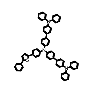 c1ccc(-c2ccc(-c3ccc(N(c4ccc(-c5ccc(N(c6ccccc6)c6ccccc6)cc5)cc4)c4ccc(-c5ccc(N(c6ccccc6)c6ccccc6)cc5)cc4)cc3)s2)cc1